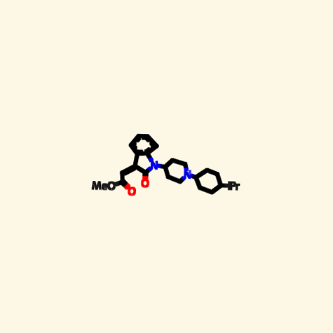 COC(=O)C=C1C(=O)N(C2CCN(C3CCC(C(C)C)CC3)CC2)c2ccccc21